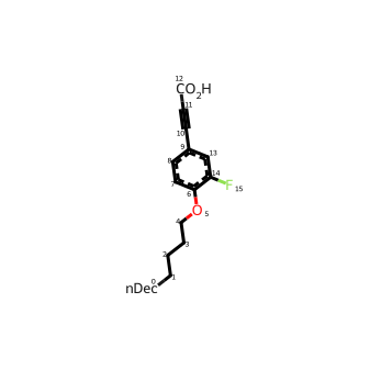 CCCCCCCCCCCCCCOc1ccc(C#CC(=O)O)cc1F